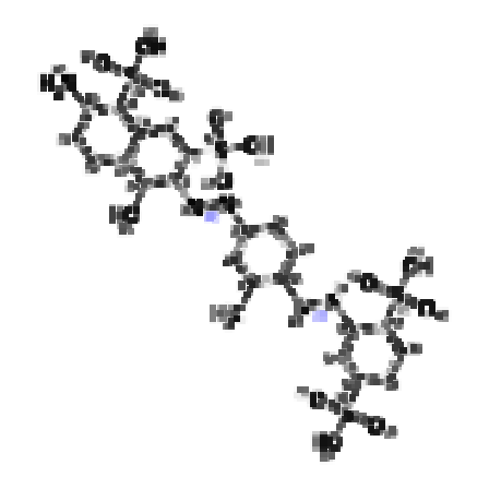 Cc1cc(/N=N/c2c(S(=O)(=O)O)cc3c(S(=O)(=O)O)c(N)ccc3c2O)ccc1/N=N/c1cc(S(=O)(=O)O)ccc1S(=O)(=O)O